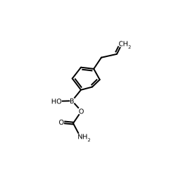 C=CCc1ccc(B(O)OC(N)=O)cc1